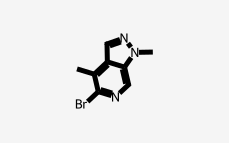 Cc1c(Br)ncc2c1cnn2C